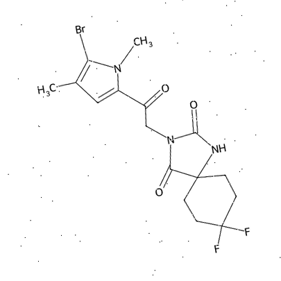 Cc1cc(C(=O)CN2C(=O)NC3(CCC(F)(F)CC3)C2=O)n(C)c1Br